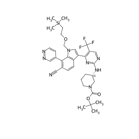 CC(C)(C)OC(=O)N1CCC[C@H](Nc2ncc(C(F)(F)F)c(-c3cn(COCC[Si](C)(C)C)c4c(-c5ccnnc5)c(C#N)ccc34)n2)C1